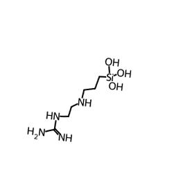 N=C(N)NCCNCCC[Si](O)(O)O